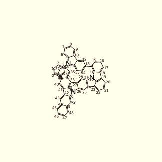 c1ccc(-n2c3ccccc3c3cc(-c4cccc5c6cccc7c8cc9c(cc8n(c45)c76)c4c5ccccc5cc5c6cc7ccccc7cc6n9c54)ccc32)cc1